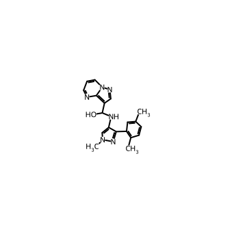 Cc1ccc(C)c(-c2nn(C)cc2NC(O)c2cnn3cccnc23)c1